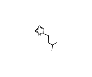 CC(C)CCc1cocn1